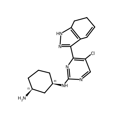 N[C@H]1CCC[C@@H](Nc2ncc(Cl)c(-c3n[nH]c4c3C=CCC4)n2)C1